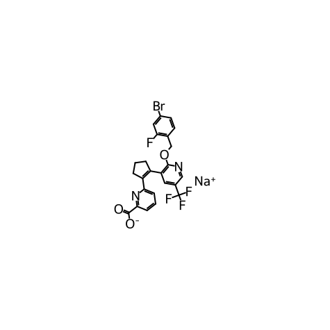 O=C([O-])c1cccc(C2=C(c3cc(C(F)(F)F)cnc3OCc3ccc(Br)cc3F)CCC2)n1.[Na+]